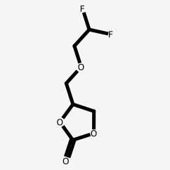 O=C1OCC(COCC(F)F)O1